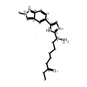 CCC(=O)CCCCC[C@H](N)c1ncc(-c2ccc3nn(C)cc3c2)[nH]1